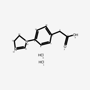 Cl.Cl.O=C(O)Cc1ccc(N2C=NCC2)cc1